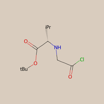 CC(C)[C@H](NCC(=O)Cl)C(=O)OC(C)(C)C